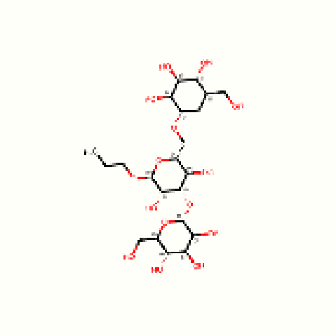 CCCO[C@H]1O[C@H](CO[C@H]2C[C@H](CO)[C@@H](O)[C@H](O)[C@@H]2O)[C@@H](O)[C@H](O[C@H]2O[C@H](CO)[C@@H](O)[C@H](O)[C@@H]2O)[C@@H]1O